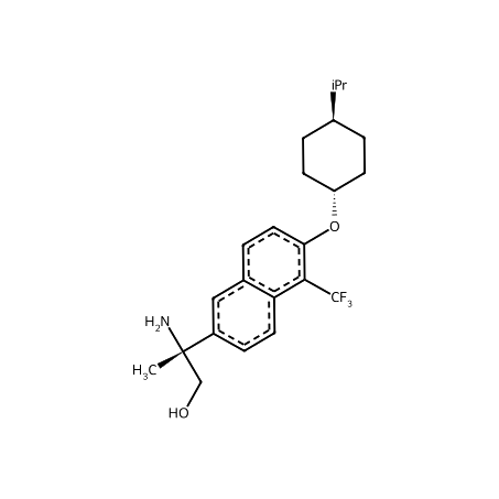 CC(C)[C@H]1CC[C@H](Oc2ccc3cc([C@@](C)(N)CO)ccc3c2C(F)(F)F)CC1